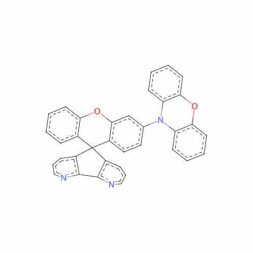 c1ccc2c(c1)Oc1ccccc1N2c1ccc2c(c1)Oc1ccccc1C21c2cccnc2-c2ncccc21